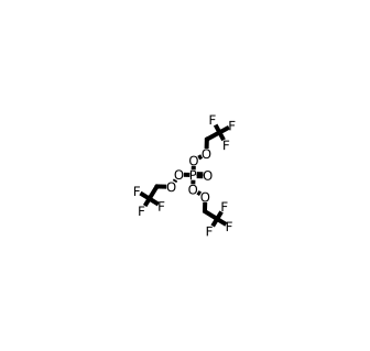 O=P(OOCC(F)(F)F)(OOCC(F)(F)F)OOCC(F)(F)F